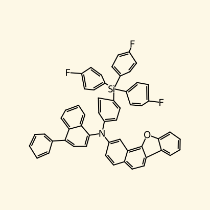 Fc1ccc([Si](c2ccc(F)cc2)(c2ccc(F)cc2)c2ccc(N(c3ccc4ccc5c6ccccc6oc5c4c3)c3ccc(-c4ccccc4)c4ccccc34)cc2)cc1